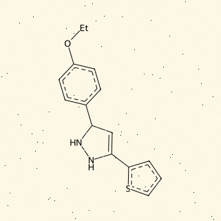 CCOc1ccc(C2C=C(c3cccs3)NN2)cc1